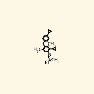 CCN(C)C=Nc1cc(C)c(Cc2ccc(C3CC3)cc2)c(C)c1C1CC1